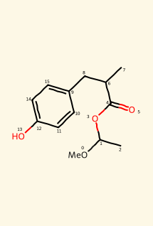 COC(C)OC(=O)C(C)Cc1ccc(O)cc1